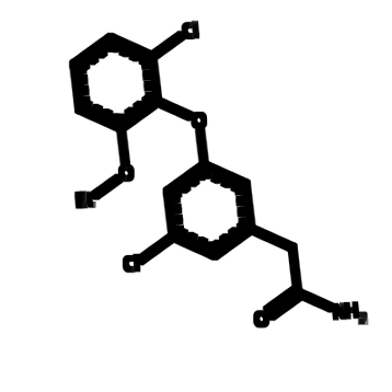 CCOc1cccc(Cl)c1Oc1cc(Cl)cc(CC(N)=O)c1